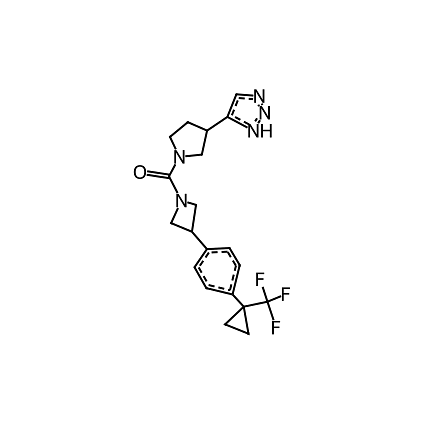 O=C(N1CC(c2ccc(C3(C(F)(F)F)CC3)cc2)C1)N1CCC(c2cnn[nH]2)C1